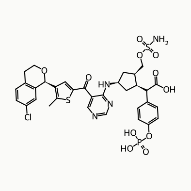 Cc1sc(C(=O)c2cncnc2N[C@H]2C[C@@H](COS(N)(=O)=O)[C@@H](C(C(=O)O)c3ccc(OP(=O)(O)O)cc3)C2)cc1[C@@H]1OCCc2ccc(Cl)cc21